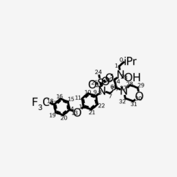 CC(C)CN(O)C(=O)[C@H](CN(c1ccc(Oc2ccc(C(F)(F)F)cc2)cc1)S(C)(=O)=O)N1CCOCC1